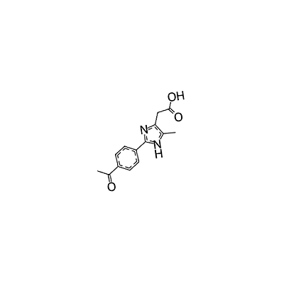 CC(=O)c1ccc(-c2nc(CC(=O)O)c(C)[nH]2)cc1